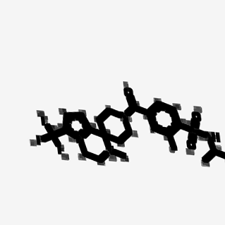 Cc1cc(C(=O)N2CCC3(CC2)c2ccc(C(F)(F)F)n2CCN3C)ccc1S(=O)(=O)NC(C)C